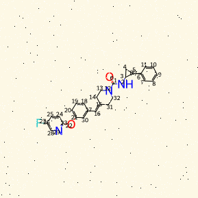 O=C(NC1C[C@H]1c1ccccc1)N1CCC(=Cc2cccc(Oc3ccc(F)cn3)c2)CC1